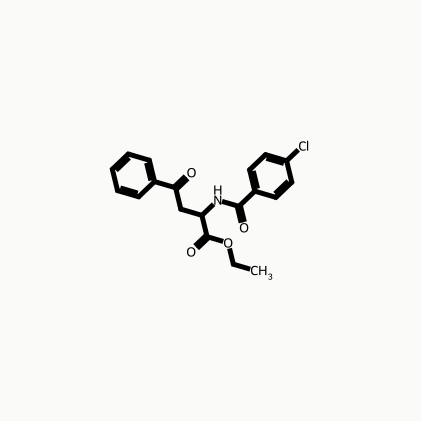 CCOC(=O)C(CC(=O)c1ccccc1)NC(=O)c1ccc(Cl)cc1